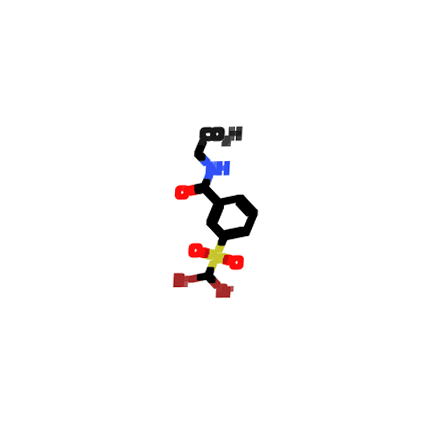 O=C(O)CNC(=O)c1cccc(S(=O)(=O)C(Br)Br)c1